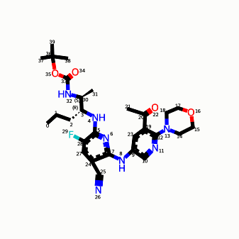 CCC[C@@H](Nc1nc(Nc2cnc(N3CCOCC3)c(C(C)=O)c2)c(C#N)cc1F)[C@H](C)NC(=O)OC(C)(C)C